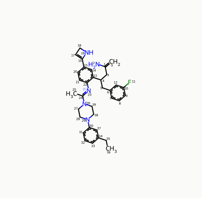 C=C(N)CC(Cc1cccc(F)c1)c1cc(C2=CCN2)ccc1/N=C(\C)N1CCN(c2cccc(CC)c2)CC1